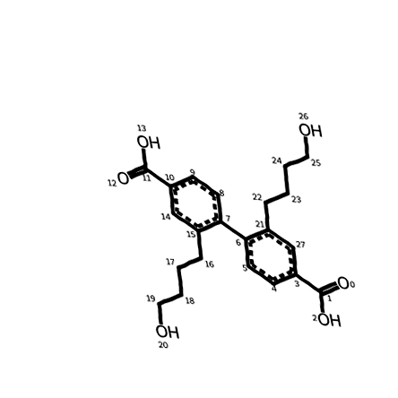 O=C(O)c1ccc(-c2ccc(C(=O)O)cc2CCCCO)c(CCCCO)c1